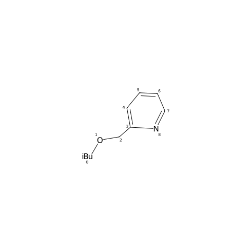 CCC(C)OCc1ccccn1